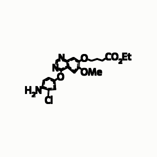 CCOC(=O)CCCOc1cc2ncnc(Oc3ccc(N)c(Cl)c3)c2cc1OC